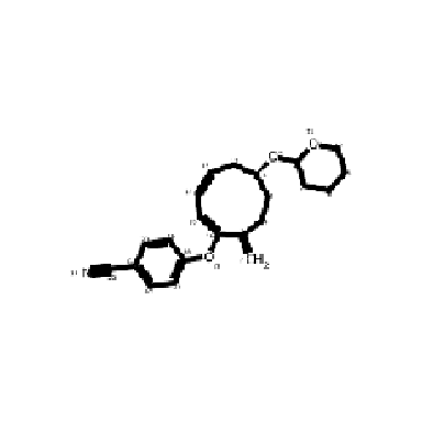 C=C1CC[C@H](OC2CCCCO2)C/C=C\C=C/1Oc1ccc(C#N)cc1